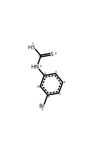 S=C(S)Nc1cccc(Br)c1